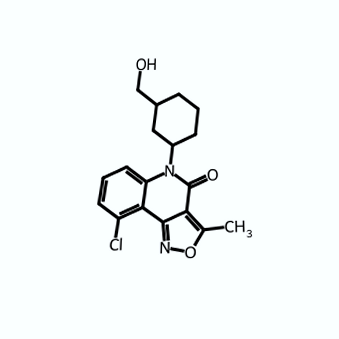 Cc1onc2c1c(=O)n(C1CCCC(CO)C1)c1cccc(Cl)c21